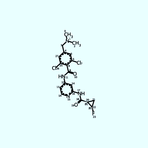 CN(C)Cc1cc(Cl)c(C(=O)Nc2ccnc(NC(=O)[C@H]3C[C@H]3F)c2)c(Cl)c1